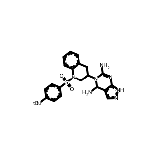 CC(C)(C)c1ccc(S(=O)(=O)N2CC(N3C(N)=Nc4[nH]ncc4C3N)Cc3ccccc32)cc1